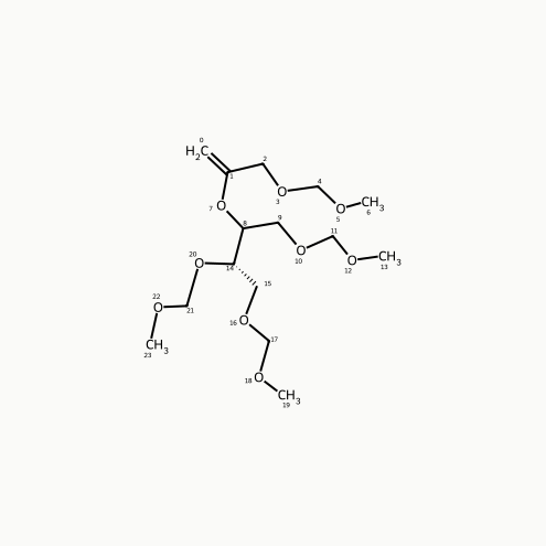 C=C(COCOC)OC(COCOC)[C@H](COCOC)OCOC